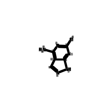 Nc1nc(Cl)nc2[nH]ncc12